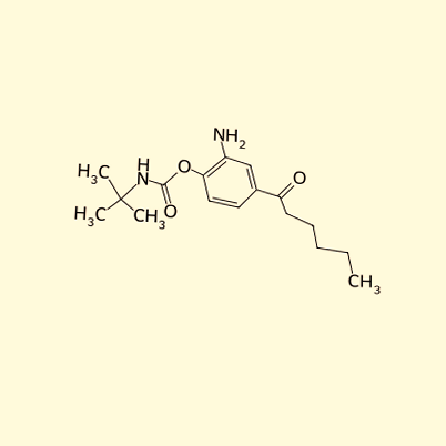 CCCCCC(=O)c1ccc(OC(=O)NC(C)(C)C)c(N)c1